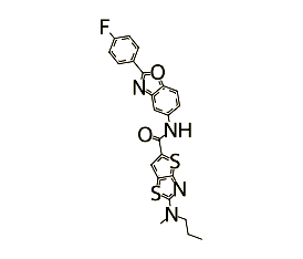 CCCN(C)c1nc2sc(C(=O)Nc3ccc4oc(-c5ccc(F)cc5)nc4c3)cc2s1